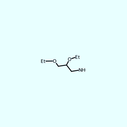 CCOCC(C[NH])OCC